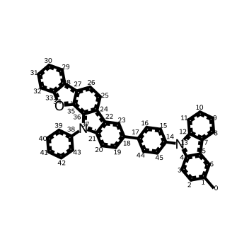 Cc1ccc2c(c1)c1ccccc1n2-c1ccc(-c2ccc3c(c2)c2ccc4c5ccccc5oc4c2n3-c2ccccc2)cc1